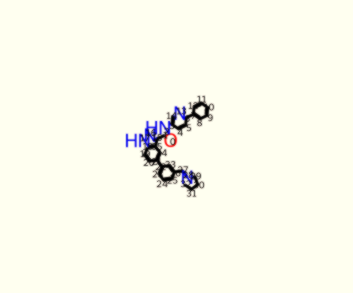 O=C(Nc1ccc(-c2ccccc2)nc1)c1n[nH]c2ccc(-c3cccc(CN4CCCC4)c3)cc12